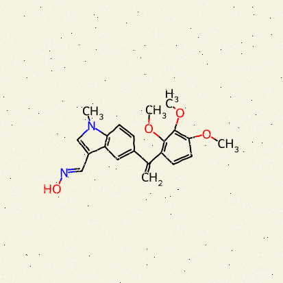 C=C(c1ccc2c(c1)c(/C=N/O)cn2C)c1ccc(OC)c(OC)c1OC